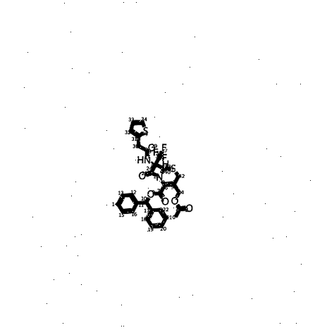 CC(=O)OCC1=C(C(=O)OC(c2ccccc2)c2ccccc2)N2C(=O)[C@@](NC(=O)Cc3cccs3)(C(F)(F)F)[C@H]2SC1